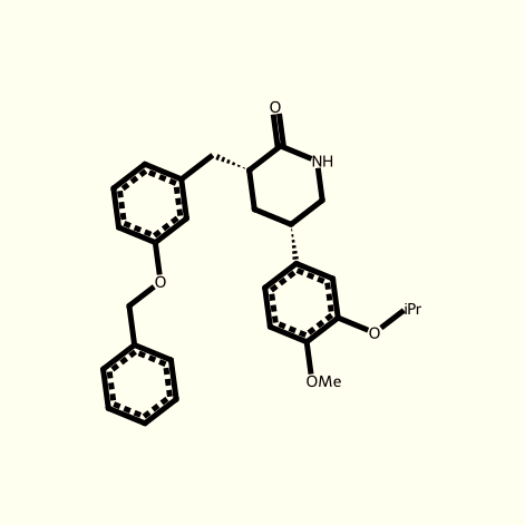 COc1ccc([C@H]2CNC(=O)[C@@H](Cc3cccc(OCc4ccccc4)c3)C2)cc1OC(C)C